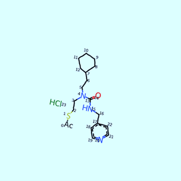 CC(=O)SCCN(CCC1CCCCC1)C(=O)NCc1ccncc1.Cl